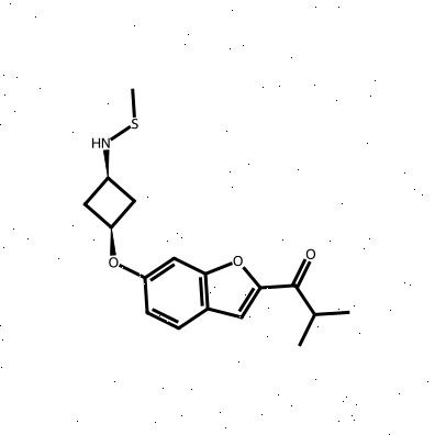 CSN[C@H]1C[C@@H](Oc2ccc3cc(C(=O)C(C)C)oc3c2)C1